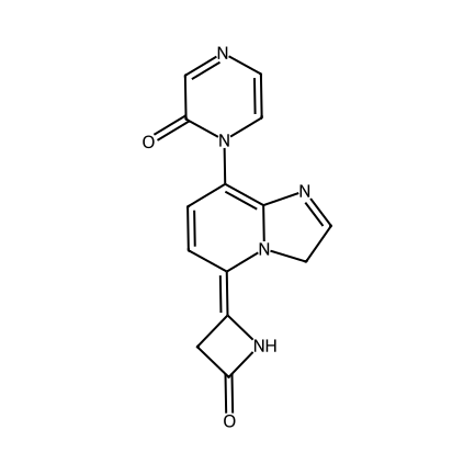 O=C1CC(=C2C=CC(n3ccncc3=O)=C3N=CCN23)N1